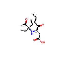 CCCC(=O)[C@H](CC(=O)O)NC(CC)(CC)C(C)=O